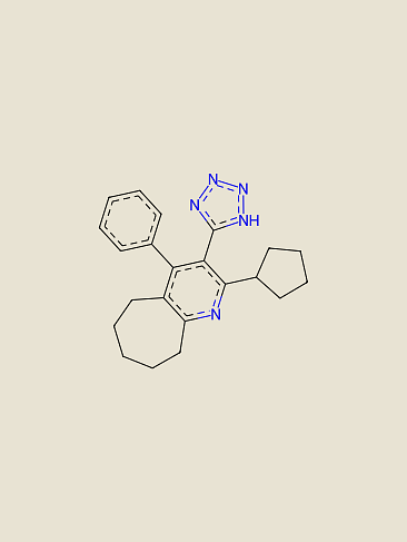 c1ccc(-c2c3c(nc(C4CCCC4)c2-c2nnn[nH]2)CCCCC3)cc1